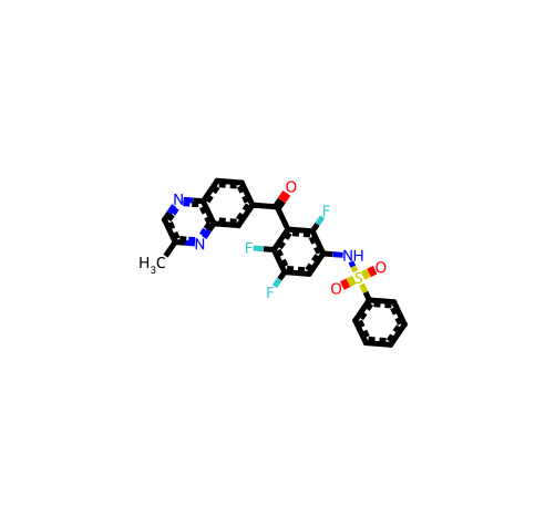 Cc1cnc2ccc(C(=O)c3c(F)c(F)cc(NS(=O)(=O)c4ccccc4)c3F)cc2n1